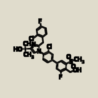 CC(C)(O)c1cn(-c2ccc(-c3cc(F)c(CO)c(S(C)(=O)=O)c3)cc2Cl)c(Cc2ccc(F)cc2Cl)n1